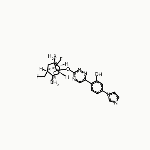 B[C@@]12CC[C@@](B)(C[C@H]1CF)[C@@H](F)[C@H](Oc1ncc(-c3ccc(-n4ccnc4)cc3O)nn1)C2